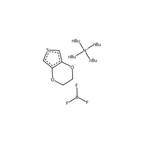 CCCC[N+](CCCC)(CCCC)CCCC.FB(F)F.c1scc2c1OCCO2